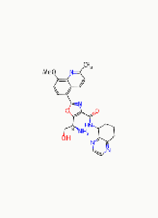 COc1ccc(-c2nc(C(=O)NC3CCCc4nccnc43)c([C@@H](N)CO)o2)c2ccc(C(F)(F)F)nc12